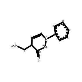 CSCC1C=CN(c2ccccc2)NC1=O